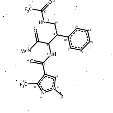 CNC(=O)C(NC(=O)c1cn(C)nc1C(F)(F)F)C(CNC(=O)C(F)(F)F)c1ccccc1